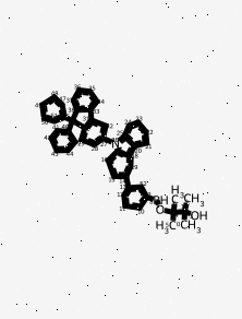 CC(C)(O)C(C)(C)OBc1cccc(-c2ccc3c(c2)c2ccccc2n3-c2ccc3c(c2)-c2ccccc2C3(c2ccccc2)c2ccccc2)c1